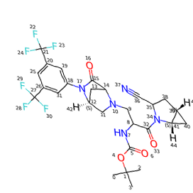 CC(C)(C)OC(=O)NC(CN1C[C@@H]2CC1C(=O)N2c1cc(C(F)(F)F)cc(C(F)(F)F)c1)C(=O)N1C(C#N)C[C@@H]2C[C@@H]21